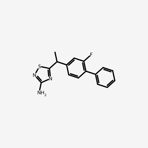 CC(c1ccc(-c2ccccc2)c(F)c1)c1nc(N)ns1